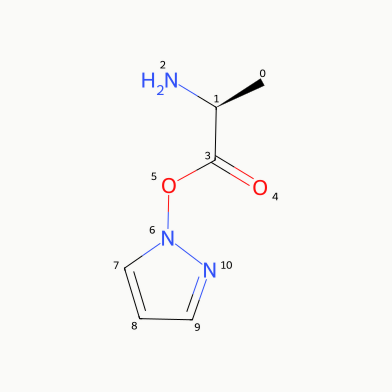 C[C@H](N)C(=O)On1cccn1